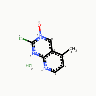 Cc1ccnc2nc(Cl)[n+]([O-])cc12.Cl